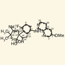 COc1cnc2c(Nc3ccc(F)c([C@@]4(C(F)F)N=C(N)C(C)(C)SC4(O)O)c3)nccc2c1